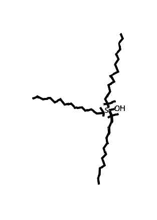 CCCCCCCCCCCCCC(C)(C)[Si](O)(C(C)(C)CCCCCCCCCCCCC)C(C)(C)CCCCCCCCCCCCC